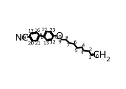 C=CCCCCCCCCOc1ccc(-c2ccc(C#N)cc2)cc1